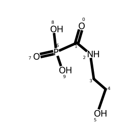 O=C(NCCO)P(=O)(O)O